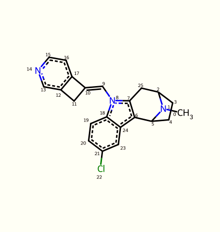 CN1C2CCC1c1c(n(/C=C3\Cc4cnccc43)c3ccc(Cl)cc13)C2